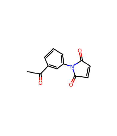 CC(=O)c1cccc(N2C(=O)C=CC2=O)c1